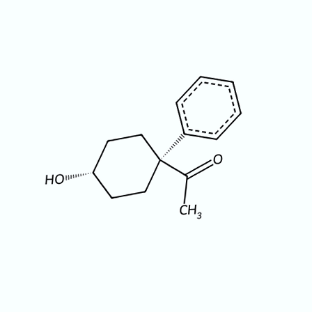 CC(=O)[C@]1(c2ccccc2)CC[C@@H](O)CC1